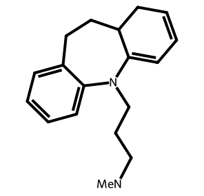 CNCCCN1C2=CC=CCC2CCc2ccccc21